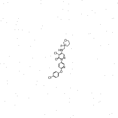 O=c1c(Cl)c(NC[C@@]2(F)CCCOC2)cnn1-c1ccc(Oc2ccc(Cl)cc2)nc1